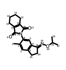 Cc1cc2c(cc1N1C(=O)C3=C(CCCC3)C1=O)C(=NOC(C)C)CC2